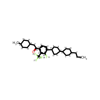 CCCC1CCC(C2CCC(c3ccc(C(=O)CC4CCC(C)CC4)c(C(F)(F)F)c3F)CC2)CC1